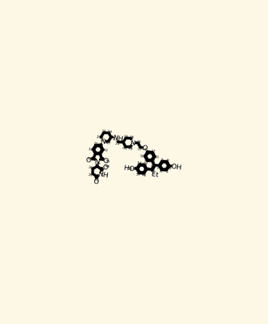 CCC(=C(c1ccc(O)cc1)c1ccc(OCCN2CCC(CN[C@@H]3CCCN(c4ccc5c(c4)C(=O)N(C4CCC(=O)NC4=O)C5=O)C3)CC2)cc1)c1ccc(O)cc1